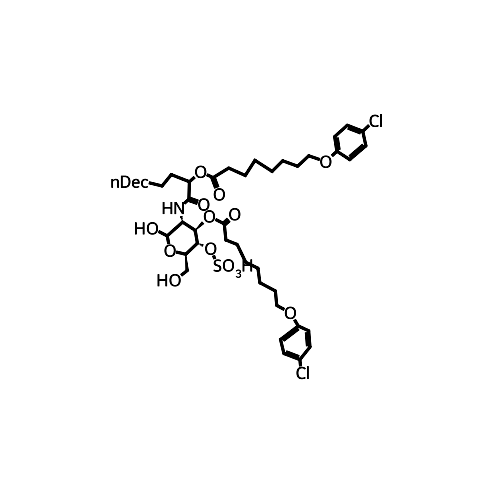 CCCCCCCCCCCCC(OC(=O)CCCCCCCOc1ccc(Cl)cc1)C(=O)N[C@H]1C(O)O[C@H](CO)[C@@H](OS(=O)(=O)O)[C@@H]1OC(=O)CCCCCCCOc1ccc(Cl)cc1